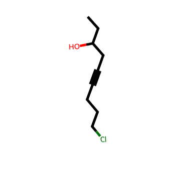 CCC(O)CC#CCCCCl